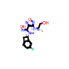 C[C@@H](CO)Nc1nonc1/C(=N\O)N[C@H]1Cc2ccc(F)cc21